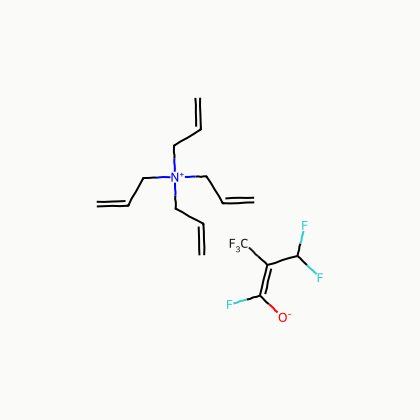 C=CC[N+](CC=C)(CC=C)CC=C.[O-]C(F)=C(C(F)F)C(F)(F)F